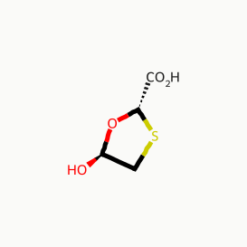 O=C(O)[C@H]1O[C@H](O)CS1